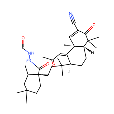 CC(=O)/C=C1/[C@@]2(C)C=C(C#N)C(=O)C(C)(C)[C@@H]2CC[C@@]1(C)C(C)(C)CC[C@@]1(C(=O)NNC=O)CCC(C)(C)CC1C